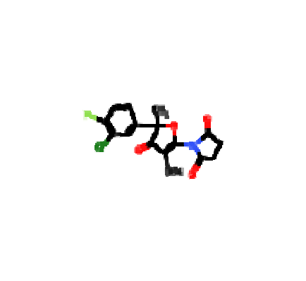 CC(=O)OC1=C(N2C(=O)CCC2=O)OC(C)(c2ccc(F)c(Cl)c2)C1=O